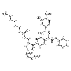 COc1ccc(CNc2nc(N3CCC[C@H]3COC(=O)CCCCCO[N+](=O)[O-])ncc2C(=O)NCc2ncccn2)cc1Cl.O=C(O)/C=C\C(=O)O